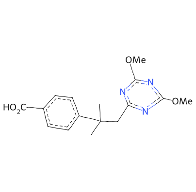 COc1nc(CC(C)(C)c2ccc(C(=O)O)cc2)nc(OC)n1